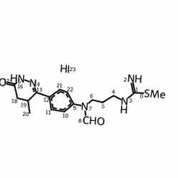 CSC(=N)NCCCN(C=O)c1ccc(C2=NNC(=O)CC2C)cc1.I